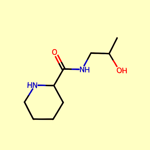 CC(O)CNC(=O)C1CCCCN1